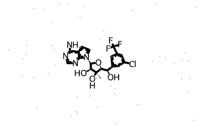 C[C@@]1(O)[C@@H]([C@H](O)c2cc(Cl)cc(C(F)(F)F)c2)O[C@@H](n2ccc3c(N)ncnc32)[C@@H]1O